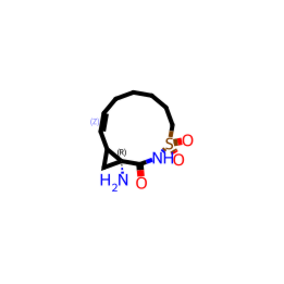 N[C@]12CC1/C=C\CCCCCS(=O)(=O)NC2=O